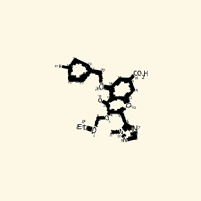 CCOCOc1c(-c2ncnn2C)oc2cc(C(=O)O)cc(OCc3ccc(F)cc3)c2c1=O